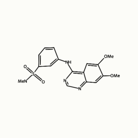 CNS(=O)(=O)c1cccc(Nc2ncnc3cc(OC)c(OC)cc23)c1